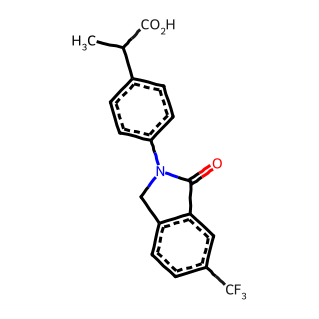 CC(C(=O)O)c1ccc(N2Cc3ccc(C(F)(F)F)cc3C2=O)cc1